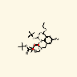 CCOC(=O)c1cc(Br)cc(CN2CCN(C(=O)OC(C)(C)C)CC2)c1N(C(=O)OC(C)(C)C)C(=O)OC(C)(C)C